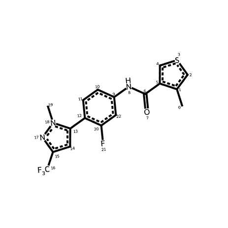 Cc1cscc1C(=O)Nc1ccc(-c2cc(C(F)(F)F)nn2C)c(F)c1